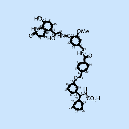 COc1cc(CNC(=O)c2ccc(COc3cccc([C@@H](NC(=O)O)c4ccccc4)c3)cc2)ccc1CNCC(O)c1ccc(O)c2[nH]c(=O)ccc12